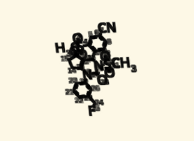 CS(=O)(=O)c1cc(C#N)ccc1[C@@H]1C2=C(CCC2=O)N(c2cccc(CF)c2)C(=O)N1S(C)(=O)=O